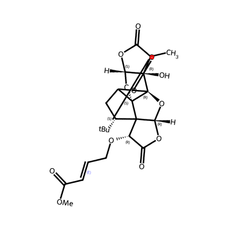 COC(=O)/C=C/CO[C@H]1C(=O)O[C@H]2O[C@]34C(=O)OC5C[C@@H](C(C)(C)C)C21[C@@]53C[C@@H]1OC(=O)C(C)[C@@]14O